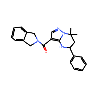 CC1(C)CC(c2ccccc2)Nc2c(C(=O)N3Cc4ccccc4C3)cnn21